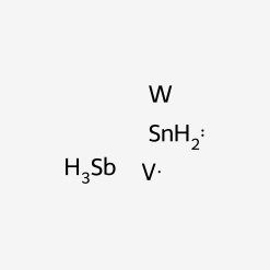 [SbH3].[SnH2].[V].[W]